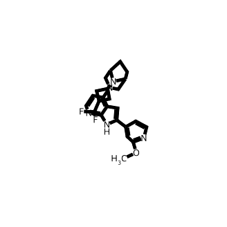 COc1cc(-c2cc3c(N4CC5CCC(C4)N5C4CC(C(F)F)C4)ccnc3[nH]2)ccn1